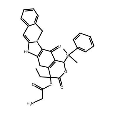 CCC1(OC(=O)CN)C(=O)OC([Si](C)(C)c2ccccc2)C2=C1CC1=C(C2=O)N2Cc3ccccc3C=C2N1